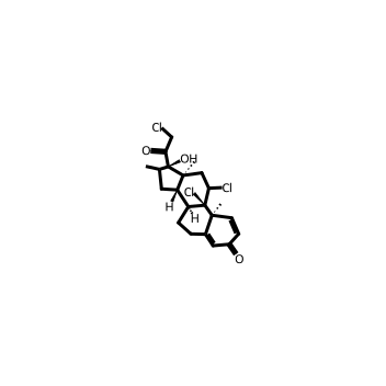 CC1C[C@H]2[C@@H]3CCC4=CC(=O)C=C[C@]4(C)[C@@]3(Cl)C(Cl)C[C@]2(C)[C@@]1(O)C(=O)CCl